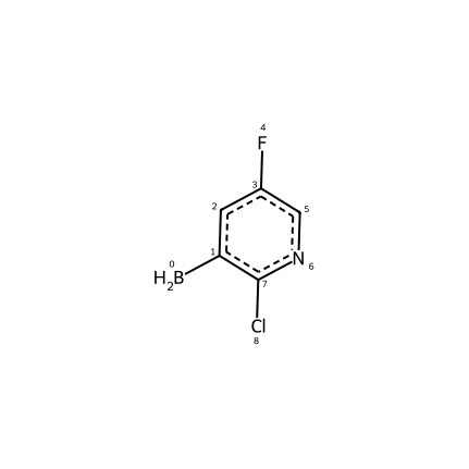 Bc1cc(F)cnc1Cl